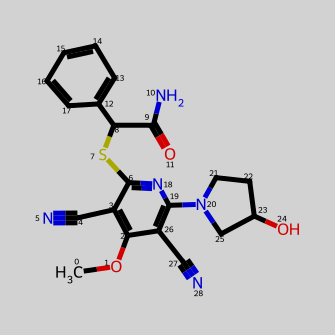 COc1c(C#N)c(SC(C(N)=O)c2ccccc2)nc(N2CCC(O)C2)c1C#N